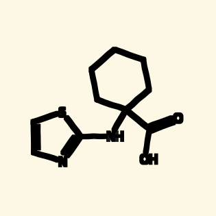 O=C(O)C1(Nc2nccs2)CCCCC1